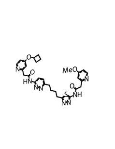 COc1ccnc(CC(=O)Nc2nnc(CCCCc3ccc(NC(=O)Cc4cc(OC5CCC5)ccn4)nn3)s2)c1